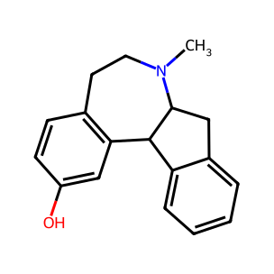 CN1CCc2ccc(O)cc2C2c3ccccc3CC21